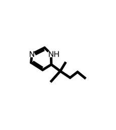 CCCC(C)(C)C1C=CN=CN1